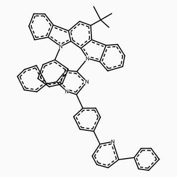 CC(C)(C)c1cc2c3ccccc3n(-c3ccccc3)c2c2c1c1ccccc1n2-c1nc(-c2ccccc2)nc(-c2ccc(-c3cccc(-c4ccccc4)n3)cc2)n1